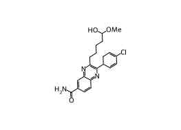 COC(O)CCCCc1nc2cc(C(N)=O)ccc2nc1C1C=CC(Cl)=CC1